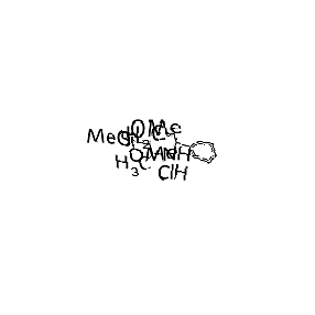 C=CC(NC(C)C[Si](OC)(OC)OC)c1ccccc1.Cl